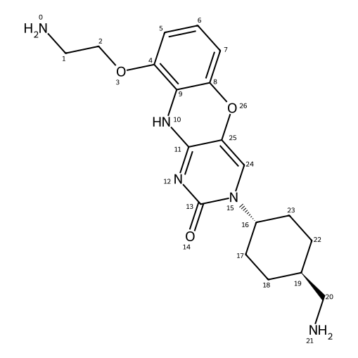 NCCOc1cccc2c1Nc1nc(=O)n([C@H]3CC[C@H](CN)CC3)cc1O2